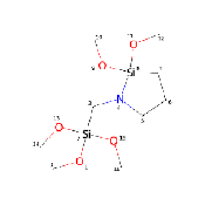 CO[Si](CN1CCC[Si]1(OC)OC)(OC)OC